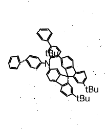 CC(C)(C)c1ccc2c(c1)C1(c3cc(N(c4ccc(-c5ccccc5)cc4)c4cccc(-c5ccccc5)c4)ccc3-2)c2cc(C(C)(C)C)ccc2-c2ccc(C(C)(C)C)cc21